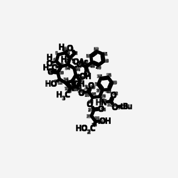 CC(=O)O[C@@]12CO[C@@H]1C[C@H](O)[C@@]1(C)C(=O)[C@H](O)C3=C(C)[C@@H](OC(=O)[C@H](OC(=O)CC(O)C(=O)O)[C@@H](NC(=O)OC(C)(C)C)c4ccccc4)C[C@@](O)([C@@H](OC(=O)c4ccccc4)[C@H]21)C3(C)C